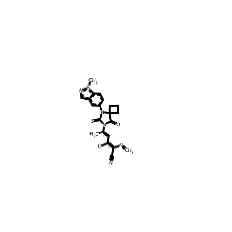 C=N/C(C#N)=C(Cl)\C=C(/C)N1C(=O)C2(CCC2)N(c2ccc3c(cnn3C)c2)C1=S